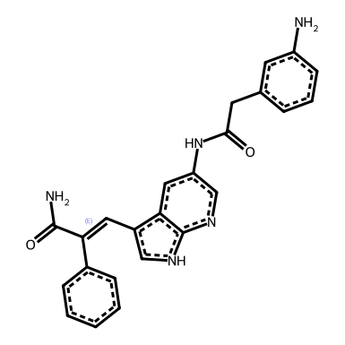 NC(=O)/C(=C/c1c[nH]c2ncc(NC(=O)Cc3cccc(N)c3)cc12)c1ccccc1